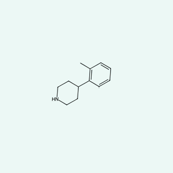 Cc1ccc[c]c1C1CCNCC1